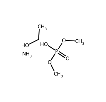 CCO.COP(=O)(O)OC.N